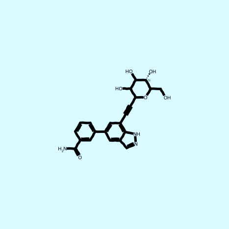 NC(=O)c1cccc(-c2cc(C#CC3OC(CO)[C@@H](O)C(O)C3O)c3[nH]ncc3c2)c1